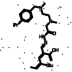 C=C(O)C(=C\C(=C/C)C(C)(C)C)/C=N/NC(=O)CN(C)CCN(C)Cc1ccc(C(C)C)cc1